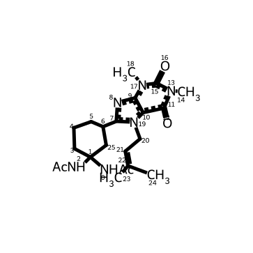 CC(=O)NC1(NC(C)=O)CCCC(c2nc3c(c(=O)n(C)c(=O)n3C)n2CC=C(C)C)C1